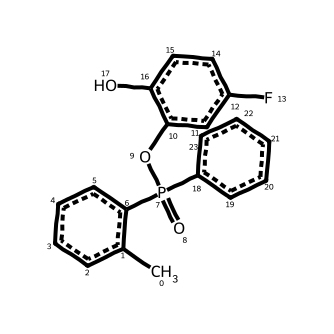 Cc1ccccc1P(=O)(Oc1cc(F)ccc1O)c1ccccc1